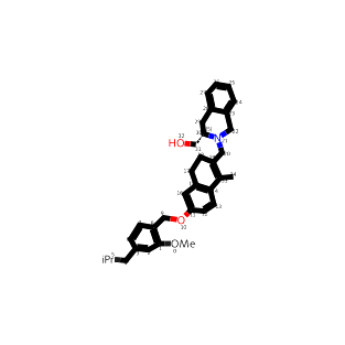 COc1cc(CC(C)C)ccc1COc1ccc2c(c1)CCC(CN1Cc3ccccc3C[C@H]1CO)=C2C